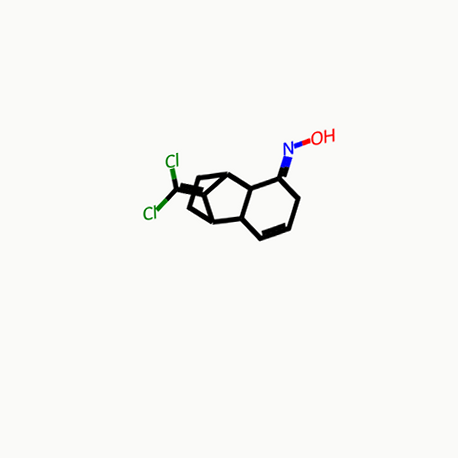 O/N=C1\CC=CC2C3CCC(C3=C(Cl)Cl)C12